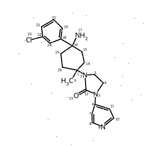 CC1(N2CCN(c3ccncc3)C2=O)CCC(N)(c2cccc(Cl)c2)CC1